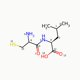 CC(C)C[C@H](NC(=O)C(N)CS)C(=O)O